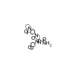 NC(=O)c1nn(-c2ccc3occc3c2)c2c1CCN(c1ccc(N3CCCCC3=O)c(F)c1)C2=O